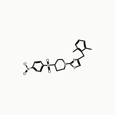 Cc1cccc(C)c1Cc1csc(N2CCC(S(=O)(=O)c3ccc([N+](=O)[O-])cc3)CC2)n1